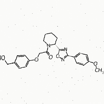 COc1ccc(-c2noc([C@H]3CCCCN3C(=O)COc3ccc(CO)cc3)n2)cc1